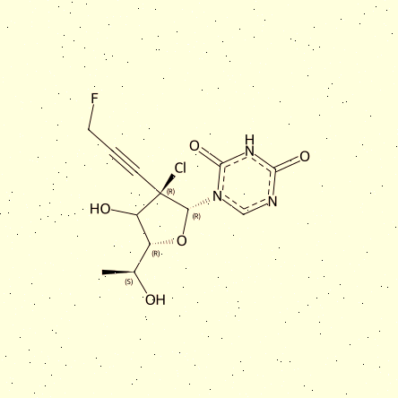 C[C@H](O)[C@H]1O[C@@H](n2cnc(=O)[nH]c2=O)[C@@](Cl)(C#CCF)C1O